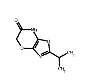 CC(C)c1nc2c(o1)NC(=O)CO2